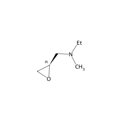 CCN(C)C[C@@H]1CO1